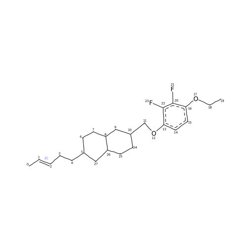 C/C=C/CCC1CCC2CC(COc3ccc(OCC)c(F)c3F)CCC2C1